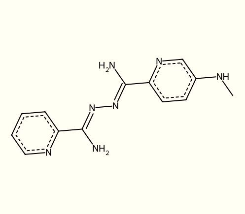 CNc1ccc(/C(N)=N/N=C(\N)c2ccccn2)nc1